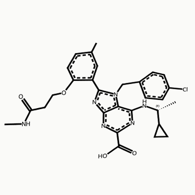 CNC(=O)CCOc1ccc(C)cc1-c1nc2nc(C(=O)O)nc(N[C@H](C)C3CC3)c2n1Cc1ccc(Cl)cc1